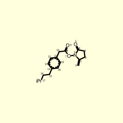 C=C1CCC(=O)N1OC(=O)Cc1ccc(CCC(C)C)cc1